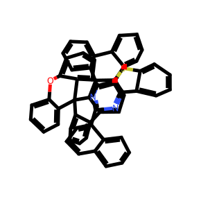 c1ccc2c(c1)Oc1ccccc1C21c2ccccc2-c2ccc(-c3ccccc3-c3ccccc3-c3nc(-c4cccc5ccccc45)nc4c3sc3ccccc34)cc21